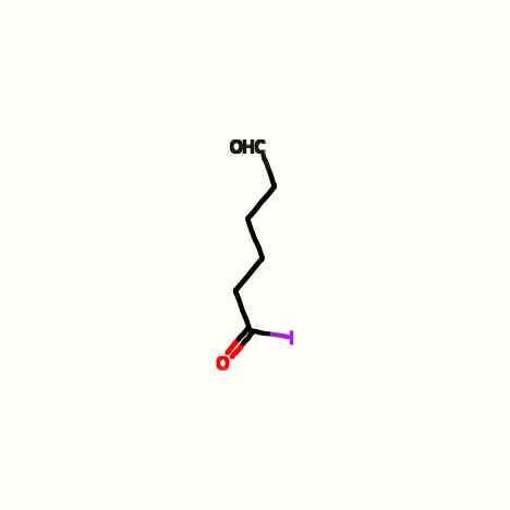 O=CCCCCC(=O)I